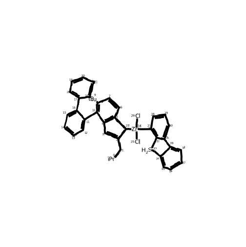 CC(C)CC1=Cc2c(ccc(C(C)(C)C)c2-c2ccccc2-c2ccccc2)[CH]1[Zr]([Cl])([Cl])[c]1cccc2c1[SiH2]c1ccccc1-2